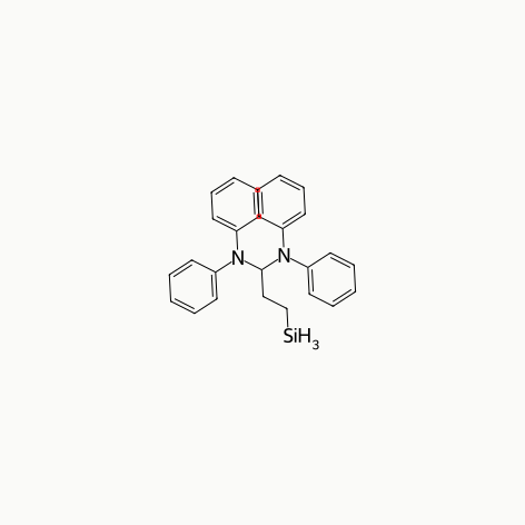 [SiH3]CCC(N(c1ccccc1)c1ccccc1)N(c1ccccc1)c1ccccc1